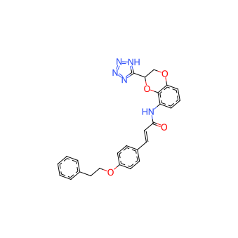 O=C(C=Cc1ccc(OCCc2ccccc2)cc1)Nc1cccc2c1OC(c1nnn[nH]1)CO2